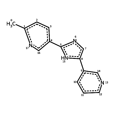 Cc1ccc(-c2ncc(-c3cccnc3)[nH]2)cn1